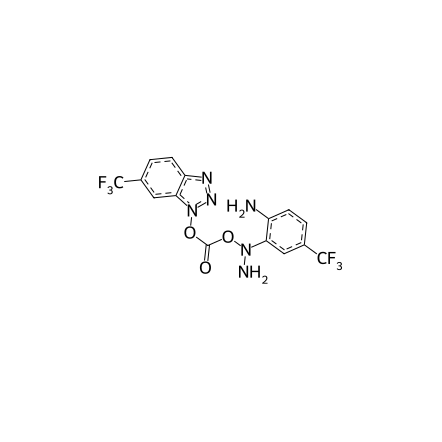 Nc1ccc(C(F)(F)F)cc1N(N)OC(=O)On1nnc2ccc(C(F)(F)F)cc21